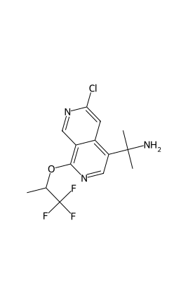 CC(Oc1ncc(C(C)(C)N)c2cc(Cl)ncc12)C(F)(F)F